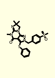 C=S(C)(=O)c1ccc(Cn2nc3c(c2Sc2ccccc2)C(=O)N(C)C2=NC(C)(C)CN23)cc1